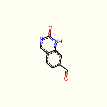 O=Cc1ccc2cnc(=O)[nH]c2c1